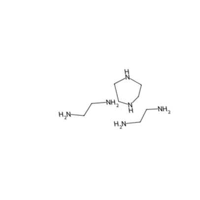 C1CNCCN1.NCCN.NCCN